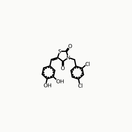 O=C1SC(=Cc2ccc(O)c(O)c2)C(=O)N1Cc1ccc(Cl)cc1Cl